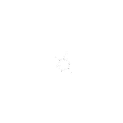 Clc1cc(Br)[c]cc1I